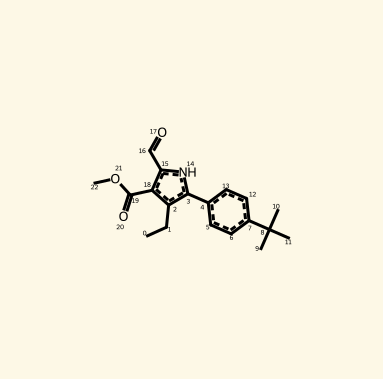 CCc1c(-c2ccc(C(C)(C)C)cc2)[nH]c(C=O)c1C(=O)OC